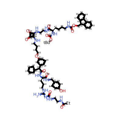 CCC(=O)NCCNC(=O)/N=C(/N)NCCC[C@@H](NC(=O)C(c1ccccc1)c1cccc(OCCCCNc2c(NCCNC(=O)[C@@H](CCCCNC(=O)OCC3c4ccccc4-c4ccccc43)NC(=O)OC(C)(C)C)c(=O)c2=O)c1)C(=O)NCc1ccc(O)cc1